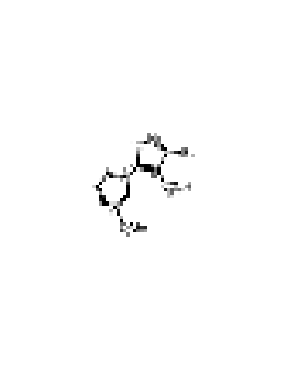 CCc1noc(-c2cccc(OC)c2)c1C(=O)O